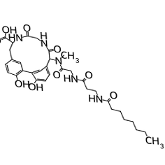 CCCCCCCC(=O)NCCC(=O)NCC(=O)N(C)C1C(=O)NCC(=O)NC(C(=O)O)Cc2ccc(O)c(c2)-c2cc1ccc2O